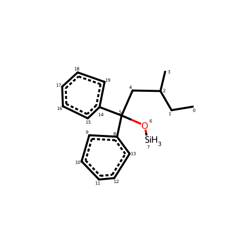 CCC(C)CC(O[SiH3])(c1ccccc1)c1ccccc1